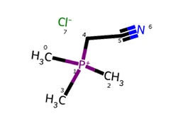 C[P+](C)(C)CC#N.[Cl-]